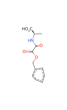 C[C@@H](NC(=O)C(=O)OCc1ccccc1)C(=O)O